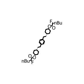 CCCC[C@H](F)C(=O)O[C@H]1CC[C@H](CCc2ccc(CC[C@H]3CC[C@H](OC(=O)[C@@H](F)CCCC)CC3)cc2)CC1